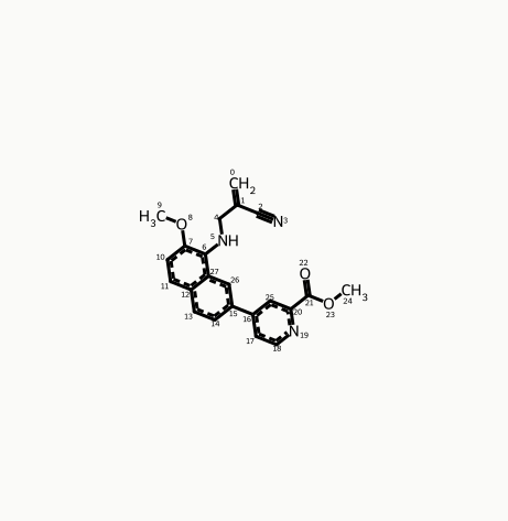 C=C(C#N)CNc1c(OC)ccc2ccc(-c3ccnc(C(=O)OC)c3)cc12